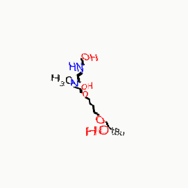 CN(CCCNCCO)CC(O)COCCCCCCOCC(O)C(C)(C)C